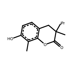 Cc1c(O)ccc2c1OC(=O)C(C)(C(C)C)C2